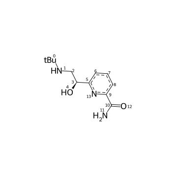 CC(C)(C)NC[C@H](O)c1cccc(C(N)=O)n1